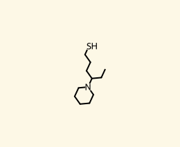 CCC(CCCS)N1CCCCC1